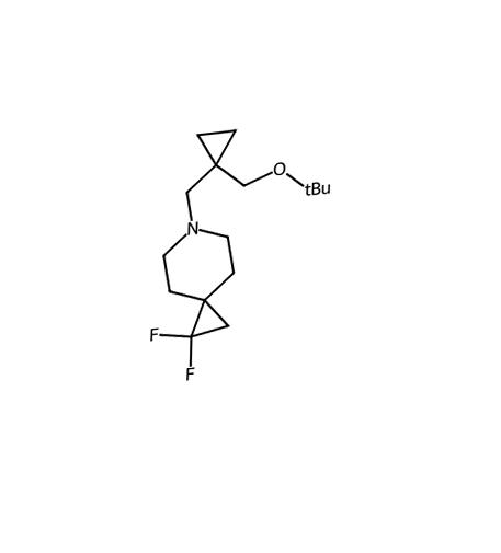 CC(C)(C)OCC1(CN2CCC3(CC2)CC3(F)F)CC1